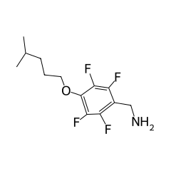 CC(C)CCCOc1c(F)c(F)c(CN)c(F)c1F